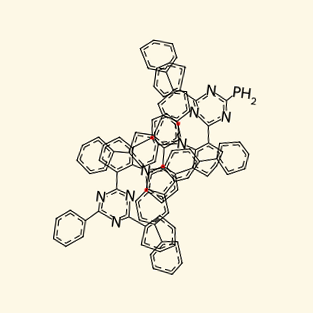 Pc1nc(-c2ccccc2)nc(-c2cccc(-c3ccccc3-c3ccccc3-c3cccc(-c4nc(-c5ccccc5)nc(-c5ccccc5)n4)c3-n3c4ccc(-c5ccccc5)cc4c4cc(-c5ccccc5)ccc43)c2-n2c3ccc(-c4ccccc4)cc3c3cc(-c4ccccc4)ccc32)n1